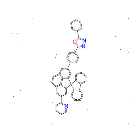 c1ccc(-c2nnc(-c3ccc(-c4cc5c6c(ccc7cc(-c8ccccn8)cc(c76)C56c5ccccc5-c5ccccc56)c4)cc3)o2)cc1